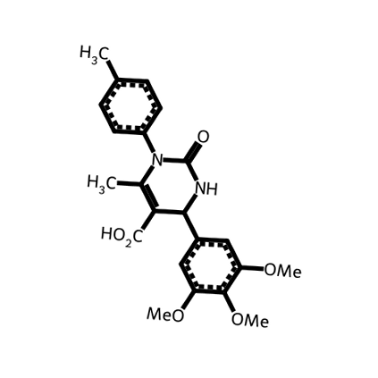 COc1cc(C2NC(=O)N(c3ccc(C)cc3)C(C)=C2C(=O)O)cc(OC)c1OC